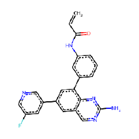 C=CC(=O)Nc1cccc(-c2cc(-c3cncc(F)c3)cc3cnc(N)nc23)c1